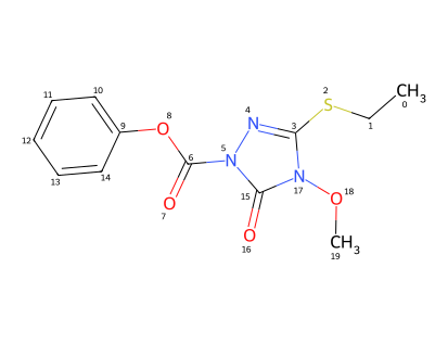 CCSc1nn(C(=O)Oc2ccccc2)c(=O)n1OC